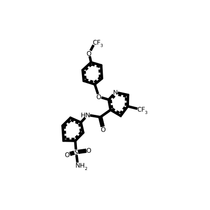 NS(=O)(=O)c1cccc(NC(=O)c2cc(C(F)(F)F)cnc2Oc2ccc(OC(F)(F)F)cc2)c1